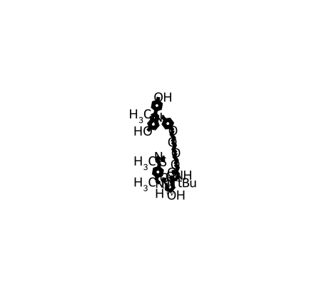 Cc1ncsc1-c1ccc(C(C)NC(=O)[C@@H]2C[C@@H](O)CN2C(=O)C(NC(=O)COCCOCCOCCOc2ccc(Cn3c(-c4ccc(O)cc4)c(C)c4cc(O)ccc43)cc2)C(C)(C)C)cc1